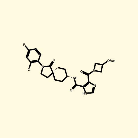 COC1CN(C(=O)c2nc[nH]c2C(=O)N[C@H]2CC[C@@]3(CCN(c4ccc(F)cc4Cl)C3=O)CC2)C1